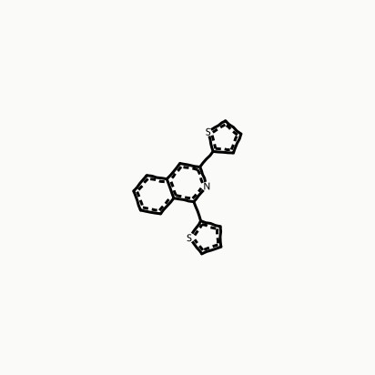 c1csc(-c2cc3ccccc3c(-c3cccs3)n2)c1